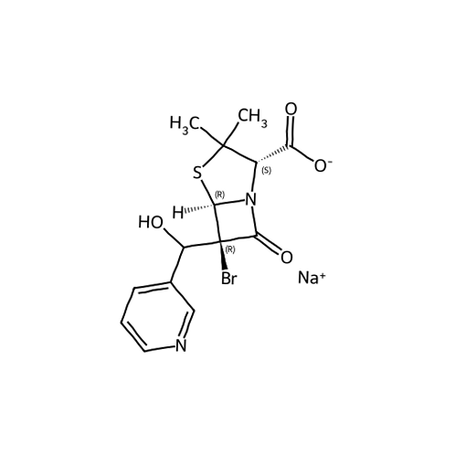 CC1(C)S[C@H]2N(C(=O)[C@]2(Br)C(O)c2cccnc2)[C@H]1C(=O)[O-].[Na+]